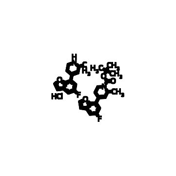 CC1C=C(c2cc(F)cc3ccoc23)CCN1.CC1C=C(c2cc(F)cc3ccoc23)CCN1C(=O)OC(C)(C)C.Cl